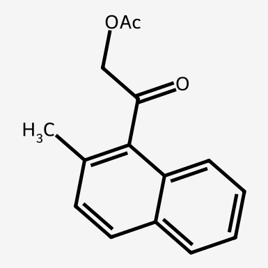 CC(=O)OCC(=O)c1c(C)ccc2ccccc12